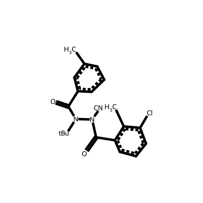 Cc1cccc(C(=O)N(N(C#N)C(=O)c2cccc(Cl)c2C)C(C)(C)C)c1